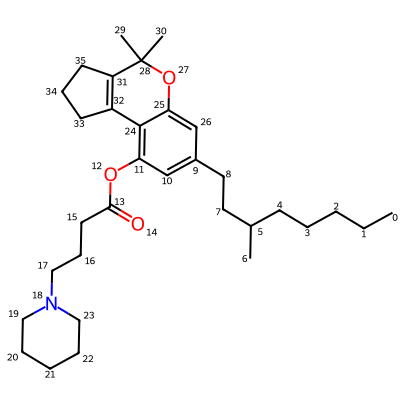 CCCCCC(C)CCc1cc(OC(=O)CCCN2CCCCC2)c2c(c1)OC(C)(C)C1=C2CCC1